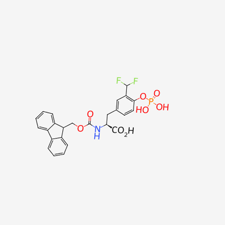 O=C(N[C@@H](Cc1ccc(OP(=O)(O)O)c(C(F)F)c1)C(=O)O)OCC1c2ccccc2-c2ccccc21